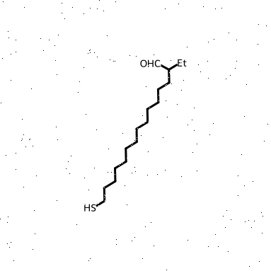 CCC(C=O)CCCCCCCCCCCCCS